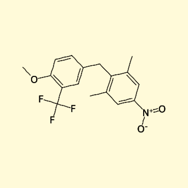 COc1ccc(Cc2c(C)cc([N+](=O)[O-])cc2C)cc1C(F)(F)F